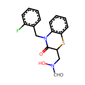 O=CN(O)CC1Sc2ccccc2N(Cc2ccccc2F)C1=O